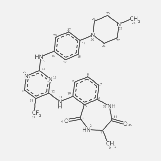 CC1NC(=O)c2c(cccc2Nc2nc(Nc3ccc(N4CCN(C)CC4)cc3)ncc2C(F)(F)F)NC1=O